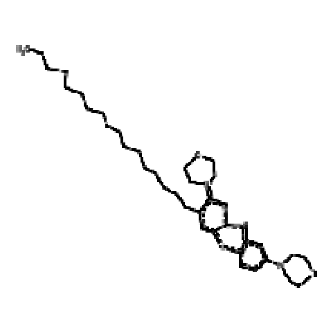 CCCCCCCCCCCCCCCCCc1cc2nc3ccc(N4CCOCC4)cc3sc-2cc1=[N+]1CCOCC1